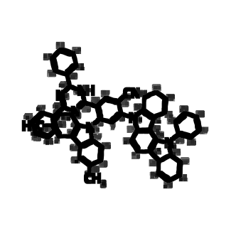 CC1=Cc2c(n(-c3cc(-n4c5c(c6c7c(ccc64)C4C=CC=CC4N7c4ccccc4)C=CCC5)c(C#N)cc3C3=NC(c4ccccc4)=NC(c4ccccc4)N3)c3ccc(C)cc23)CC1